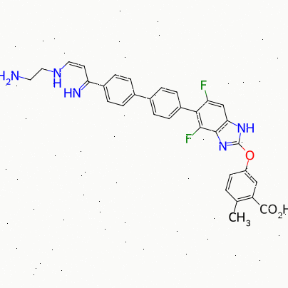 Cc1ccc(Oc2nc3c(F)c(-c4ccc(-c5ccc(C(=N)/C=C\NCCN)cc5)cc4)c(F)cc3[nH]2)cc1C(=O)O